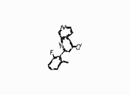 Cc1cccc(F)c1-c1cc(Cl)c2ccncc2n1